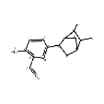 CC1C2CC(c3ccc(O)c(C=O)c3)C(C2)C1C